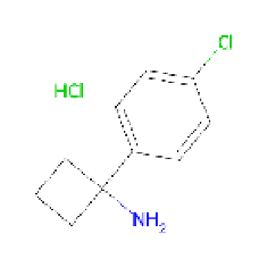 Cl.NC1(c2ccc(Cl)cc2)CCC1